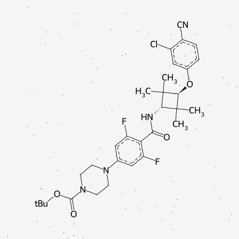 CC(C)(C)OC(=O)N1CCN(c2cc(F)c(C(=O)N[C@H]3C(C)(C)[C@H](Oc4ccc(C#N)c(Cl)c4)C3(C)C)c(F)c2)CC1